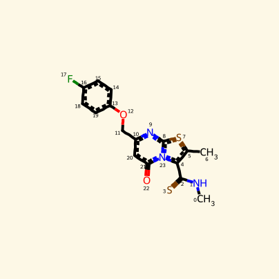 CNC(=S)c1c(C)sc2nc(COc3ccc(F)cc3)cc(=O)n12